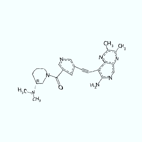 Cc1nc2cnc(N)c(C#Cc3cncc(C(=O)N4CCC[C@@H](N(C)C)C4)c3)c2nc1C